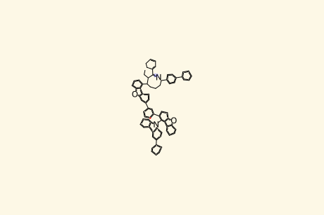 CCC1/C(C2=CC=CCC2)=N\C(c2ccc(-c3ccccc3)cc2)CCCC1c1cccc2oc3cc(-c4cccc(-c5ccc6oc7ccccc7c6c5-n5c6ccccc6c6cc(-c7ccccc7)ccc65)c4)ccc3c12